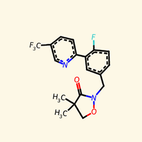 CC1(C)CON(Cc2ccc(F)c(-c3ccc(C(F)(F)F)cn3)c2)C1=O